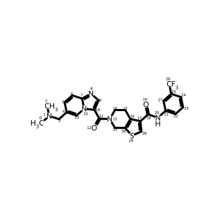 CN(C)Cc1ccc2ncc(C(=O)N3CCc4c(C(=O)Nc5cccc(C(F)(F)F)c5)csc4C3)n2c1